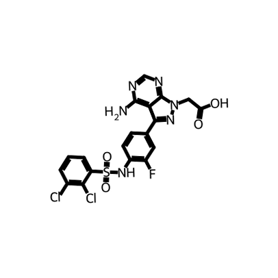 Nc1ncnc2c1c(-c1ccc(NS(=O)(=O)c3cccc(Cl)c3Cl)c(F)c1)nn2CC(=O)O